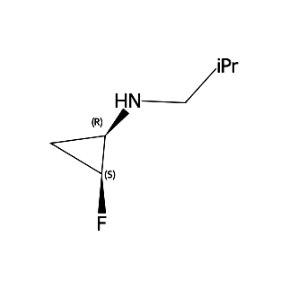 CC(C)CN[C@@H]1C[C@@H]1F